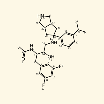 CC(=O)NC(Cc1cc(F)cc(F)c1)C(O)CNC1(c2cccc(C(C)C)c2)CC2CNCC2C1